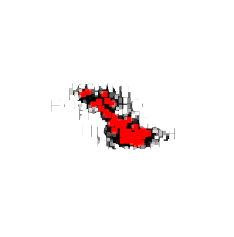 CC[C@H](C)[C@H](C[C@H](O)CC(=O)O[C@@H]1C(C)O[C@@H](OC(=O)[C@]23CCC(C)(C)CC2C2=CCC4[C@@]5(C)CC[C@H](O[C@@H]6OC(O)(C(=O)O)CC(O[C@@H]7OC(CO)[C@@H](O)C(O)C7O)C6O[C@@H]6OC(CO)[C@H](O)C(O)C6O)[C@@](C)(C=O)C5CC[C@@]4(C)[C@]2(C)C[C@H]3O)C(O[C@@H]2OC(C)[C@H](O[C@H]3OCC(O)[C@H](O[C@@H]4O[C@H](CCO)C(O)C4O)C3O)C(O)C2O)C1O)OC(=O)C[C@@H](O)C[C@H](O[C@@H]1O[C@@H](CO)C(O)C1O)[C@@H](C)CC